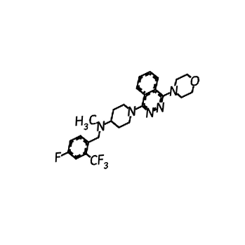 CN(Cc1ccc(F)cc1C(F)(F)F)C1CCN(c2nnc(N3CCOCC3)c3ccccc23)CC1